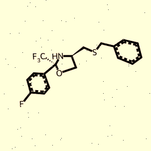 Fc1ccc([C@@]2(C(F)(F)F)N[C@@H](CSCc3ccccc3)CO2)cc1